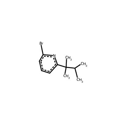 CC(C)C(C)(C)c1cccc(Br)n1